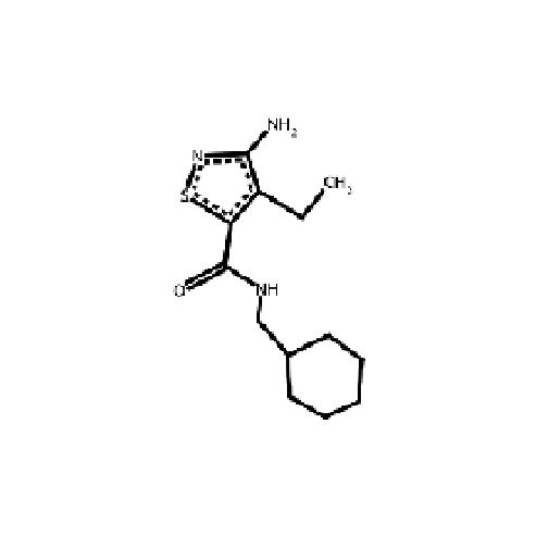 CCc1c(N)nsc1C(=O)NCC1CCCCC1